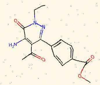 CCn1nc(-c2ccc(C(=O)OC)cc2)c(C(C)=O)c(N)c1=O